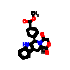 COC(=O)C1=CC=C([C@H]2c3[nH]c4ccccc4c3C[C@@H]3C(=O)OCC(=O)N32)CC1